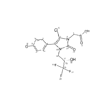 O=C(O)Cn1c(Cl)c(-c2ccc(Cl)cc2)n(C[C@H](O)C(F)(F)F)c1=O